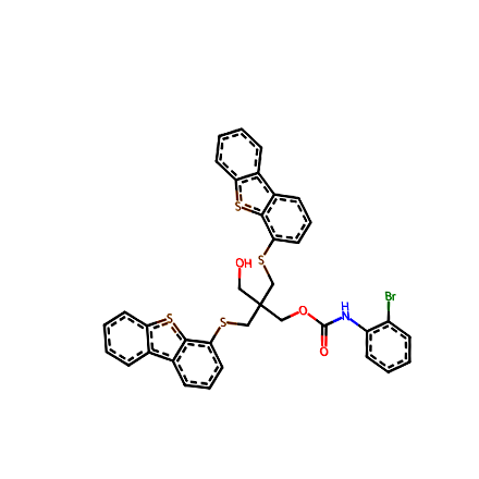 O=C(Nc1ccccc1Br)OCC(CO)(CSc1cccc2c1sc1ccccc12)CSc1cccc2c1sc1ccccc12